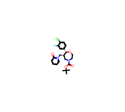 CC(C)(C)OC(=O)N1CCO[C@@H](c2ccc(Cl)c(F)c2)[C@H](Cn2ccccc2=O)C1